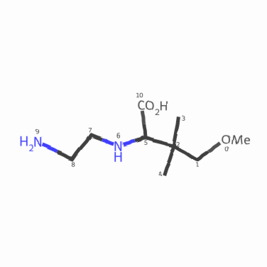 COCC(C)(C)C(NCCN)C(=O)O